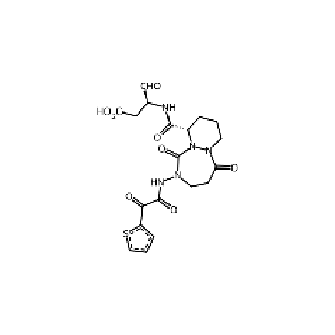 O=C[C@H](CC(=O)O)NC(=O)[C@@H]1CCCN2C(=O)CCN(NC(=O)C(=O)c3cccs3)C(=O)N12